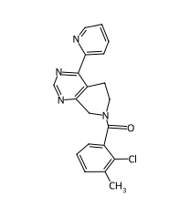 Cc1cccc(C(=O)N2CCc3c(ncnc3-c3ccccn3)C2)c1Cl